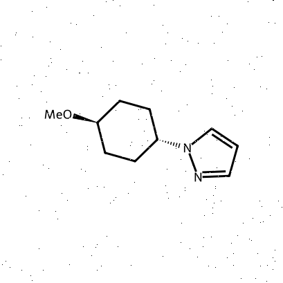 CO[C@H]1CC[C@H](n2cccn2)CC1